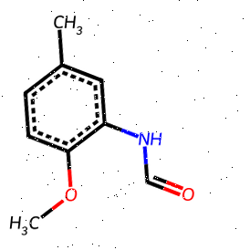 COc1ccc(C)cc1NC=O